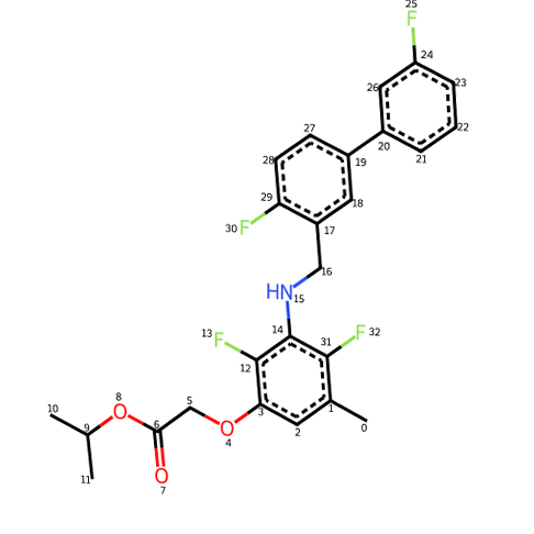 Cc1cc(OCC(=O)OC(C)C)c(F)c(NCc2cc(-c3cccc(F)c3)ccc2F)c1F